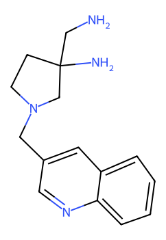 NCC1(N)CCN(Cc2cnc3ccccc3c2)C1